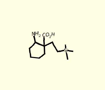 C[Si](C)(C)CCC1(C(=O)O)CCCCC1N